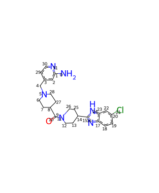 Nc1cc(CN2CCC(C(=O)N3CCC(c4nc5ccc(Cl)cc5[nH]4)CC3)CC2)ccn1